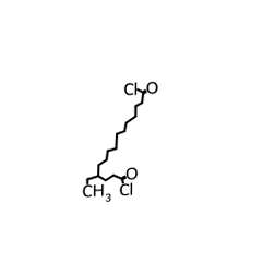 CCC(CCCCCCCCCCC(=O)Cl)CCC(=O)Cl